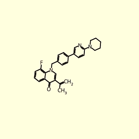 C=C(C)c1cn(Cc2ccc(-c3ccc(N4CCCCC4)nc3)cc2)c2c(F)cccc2c1=O